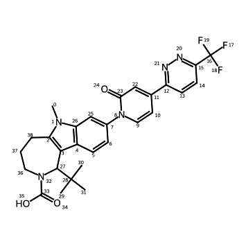 Cn1c2c(c3ccc(-n4ccc(-c5ccc(C(F)(F)F)nn5)cc4=O)cc31)C(C(C)(C)C)N(C(=O)O)CCC2